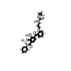 CN(C(=O)c1ccc(C(=O)c2ccccc2OCCCNC(=O)OC(C)(C)C)c(O)c1N)C1CCCCC1